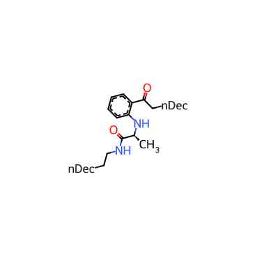 CCCCCCCCCCCCNC(=O)[C@H](C)Nc1ccccc1C(=O)CCCCCCCCCCC